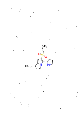 C=CCS(=O)(=O)c1cc2n(c1-c1ccc[nH]1)CCC2C(=O)O